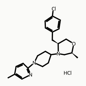 Cc1ccc(N2CCC(N3C[C@H](C)OC[C@@H]3Cc3ccc(Cl)cc3)CC2)nc1.Cl